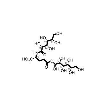 O=C(CC[C@H](NC(=O)[C@H](O)[C@@H](O)[C@H](O)[C@H](O)CO)C(=O)O)OC(O)[C@@H](O)[C@@H](O)[C@H](O)[C@H](O)CO